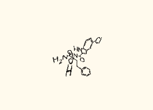 NC(=O)[C@@](O)(CCc1ccccc1)NC(=O)c1cc2cc(Cl)ccc2[nH]1